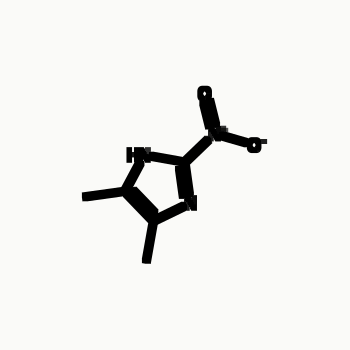 Cc1nc([N+](=O)[O-])[nH]c1C